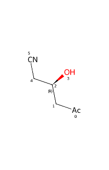 CC(=O)C[C@H](O)CC#N